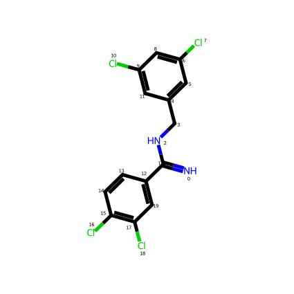 N=C(NCc1cc(Cl)cc(Cl)c1)c1ccc(Cl)c(Cl)c1